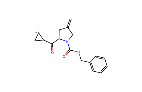 C=C1CC(C(=O)C2C[C@@H]2C)N(C(=O)OCc2ccccc2)C1